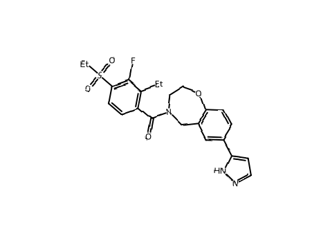 CCc1c(C(=O)N2CCOc3ccc(-c4ccn[nH]4)cc3C2)ccc(S(=O)(=O)CC)c1F